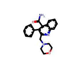 NC(=O)c1c(-c2ccccc2)c(CN2CCOCC2)nc2ccccc12